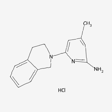 Cc1cc(N)nc(N2CCc3ccccc3C2)c1.Cl